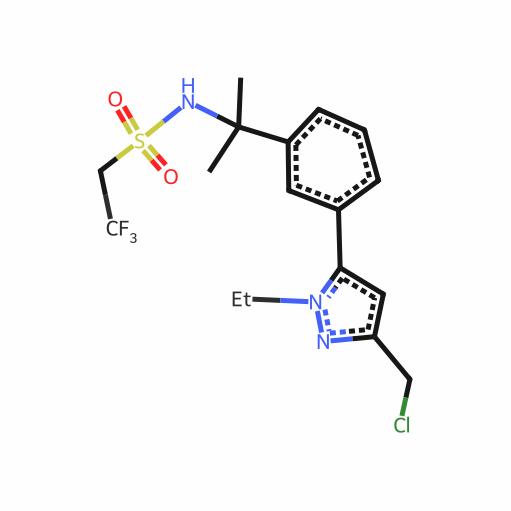 CCn1nc(CCl)cc1-c1cccc(C(C)(C)NS(=O)(=O)CC(F)(F)F)c1